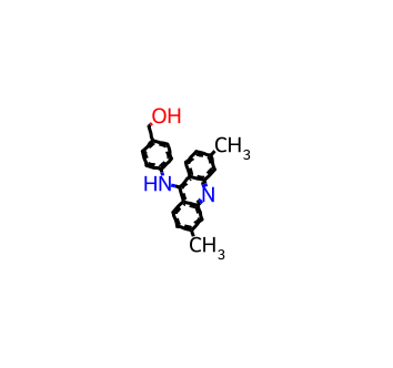 Cc1ccc2c(Nc3ccc(CO)cc3)c3ccc(C)cc3nc2c1